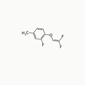 Cc1ccc(OC=C(F)F)c(F)c1